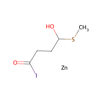 CSC(O)CCC(=O)I.[Zn]